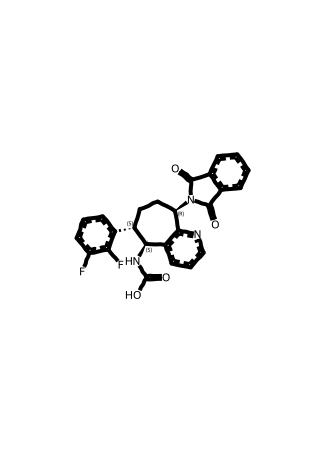 O=C(O)N[C@@H]1c2cccnc2[C@H](N2C(=O)c3ccccc3C2=O)CC[C@H]1c1cccc(F)c1F